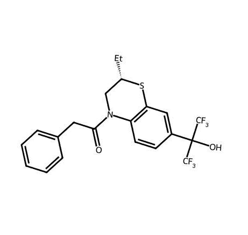 CC[C@H]1CN(C(=O)Cc2ccccc2)c2ccc(C(O)(C(F)(F)F)C(F)(F)F)cc2S1